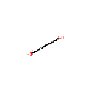 O=C(O)CCCC=CCC=CCC=CCC=CCCCCCO